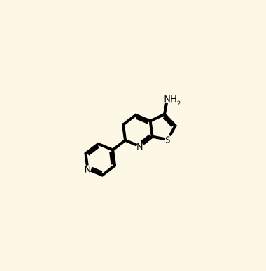 Nc1csc2c1=CCC(c1ccncc1)N=2